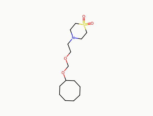 O=S1(=O)CCN(CCOCOC2CCCCCCC2)CC1